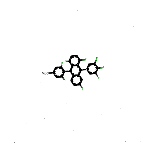 COc1cc(F)c(-c2c3ccc(F)cc3c(-c3cc(F)c(F)c(F)c3)c3c(F)ccc(F)c23)c(F)c1